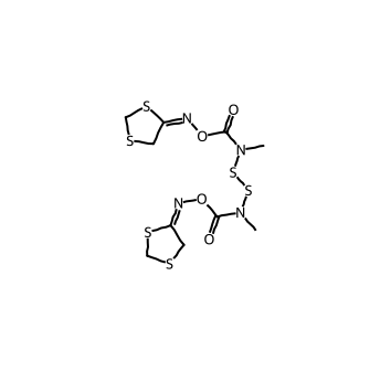 CN(SSN(C)C(=O)ON=C1CSCS1)C(=O)ON=C1CSCS1